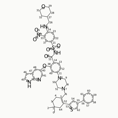 CC1(C)CCC(CN2CCN(c3ccc(C(=O)NS(=O)(=O)c4ccc(NCC5CCOCC5)c([N+](=O)[O-])c4)c(Oc4cnc5[nH]ccc5c4)c3)CC2)=C(c2cc(-c3ccccc3)cs2)C1